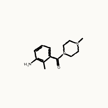 Cc1c(N)cccc1C(=O)N1CCN(C)CC1